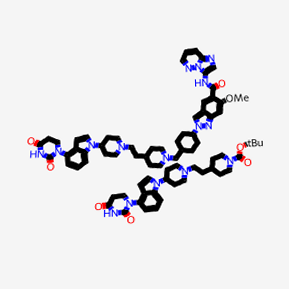 CC(C)(C)OC(=O)N1CCC(CCN2CCC(n3ccc4c(N5CCC(=O)NC5=O)cccc43)CC2)CC1.COc1cc2nn(C3CCC(CN4CCC(CCN5CCC(n6ccc7c(N8CCC(=O)NC8=O)cccc76)CC5)CC4)CC3)cc2cc1C(=O)Nc1cnc2cccnn12